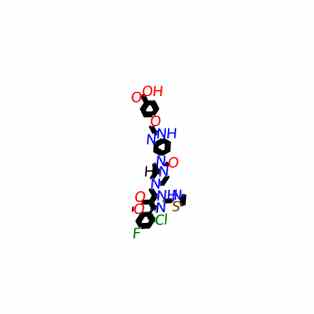 COC(=O)C1=C(CN2CCN3C(=O)N(c4ccc5[nH]c(COc6ccc(C(=O)O)cc6)nc5c4)C[C@@H]3C2)NC(c2nccs2)=N[C@H]1c1ccc(F)cc1Cl